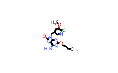 CCCCOc1nc(N)c2nc(O)n(Cc3cnc(Cl)c(OC)c3)c2n1